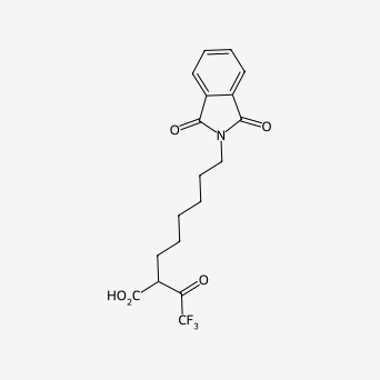 O=C(O)C(CCCCCCN1C(=O)c2ccccc2C1=O)C(=O)C(F)(F)F